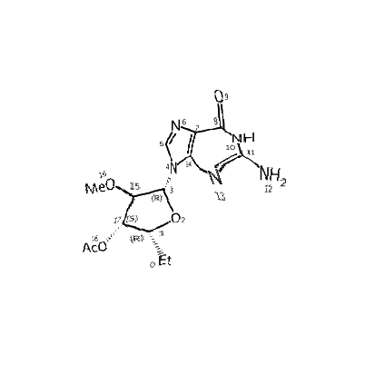 CC[C@H]1O[C@@H](n2cnc3c(=O)[nH]c(N)nc32)C(OC)[C@H]1OC(C)=O